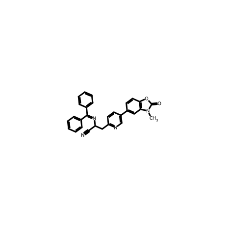 Cn1c(=O)oc2ccc(-c3ccc(CC(C#N)N=C(c4ccccc4)c4ccccc4)nc3)cc21